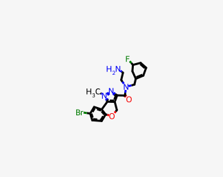 Cn1nc(C(=O)N(CCN)CC2=CC=CC(F)C2)c2c1-c1cc(Br)ccc1OC2